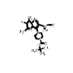 Cc1nc2c(N3CCN(C(=O)OC(C)(C)C)CC3)c(N(C)C=O)cnc2c(C)c1Br